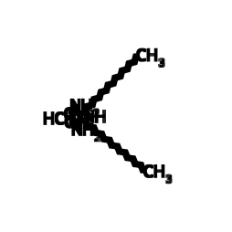 CCCCCCCCCCCCCCCCC1NC(CCCCCCCCCCCCCCCC)C(C(N)=O)C1C(N)=O.Cl